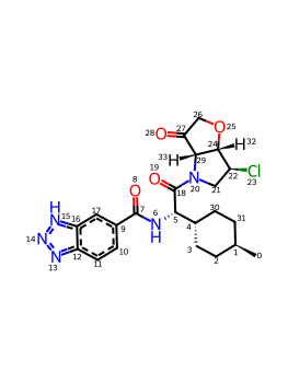 C[C@H]1CC[C@H]([C@H](NC(=O)c2ccc3nn[nH]c3c2)C(=O)N2C[C@H](Cl)[C@H]3OCC(=O)[C@H]32)CC1